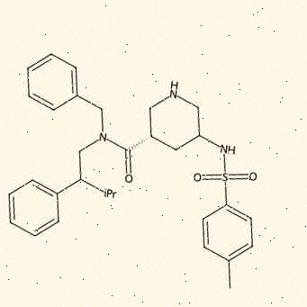 Cc1ccc(S(=O)(=O)NC2CNC[C@@H](C(=O)N(Cc3ccccc3)CC(c3ccccc3)C(C)C)C2)cc1